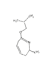 CC(C)COC1=NC(C)CC=C1